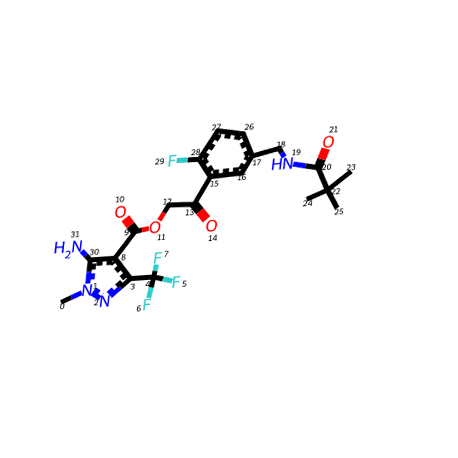 Cn1nc(C(F)(F)F)c(C(=O)OCC(=O)c2cc(CNC(=O)C(C)(C)C)ccc2F)c1N